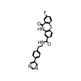 O=C(NCCc1ccc(-c2cncnc2)cc1)c1ccc2c(c1)NC(=O)c1cc(F)ccc1S2